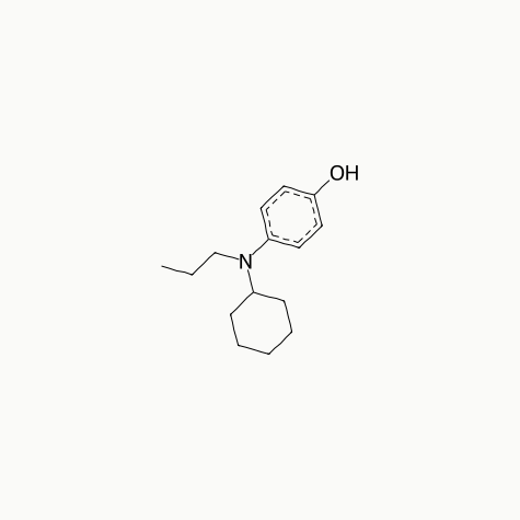 CCCN(c1ccc(O)cc1)C1CCCCC1